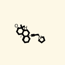 CC1(C)C(=O)CC[C@]2(C)C3=CCCC[C@]3(C#CCN3CCCC3)CC[C@@H]12